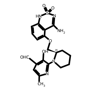 Cc1cc(C=O)c(O)c(N2CCCC[C@@H]2COc2cccc3c2C(N)=NS(=O)(=O)N3)n1